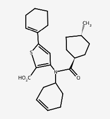 C[C@H]1CC[C@H](C(=O)N(c2cc(C3=CCCCC3)sc2C(=O)O)C2CC=CCC2)CC1